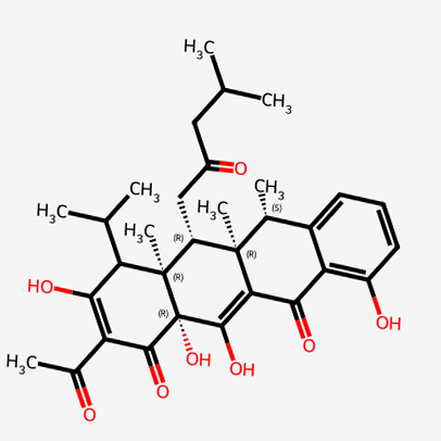 CC(=O)C1=C(O)C(C(C)C)[C@@]2(C)[C@H](CC(=O)CC(C)C)[C@]3(C)C(=C(O)[C@@]2(O)C1=O)C(=O)c1c(O)cccc1[C@H]3C